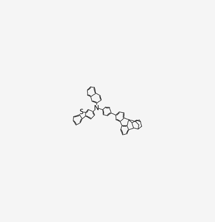 c1cc2c3c(c1)C1C4CC5CC(C4)C3(c3ccc(-c4ccc(N(c6ccc7ccccc7c6)c6ccc7c(c6)sc6ccccc67)cc4)cc3-2)C1C5